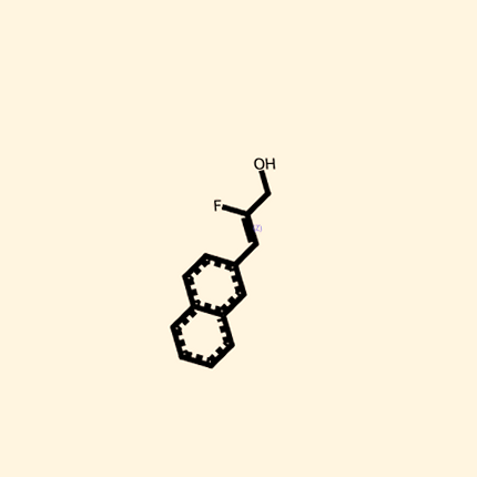 OC/C(F)=C/c1ccc2ccccc2c1